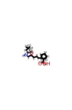 CN(C)CC(CCCc1ccccc1C(=O)O)O[Si](C)(C)C(C)(C)C